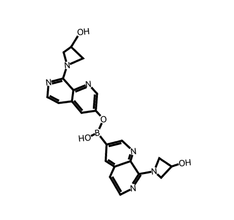 OB(Oc1cnc2c(N3CC(O)C3)nccc2c1)c1cnc2c(N3CC(O)C3)nccc2c1